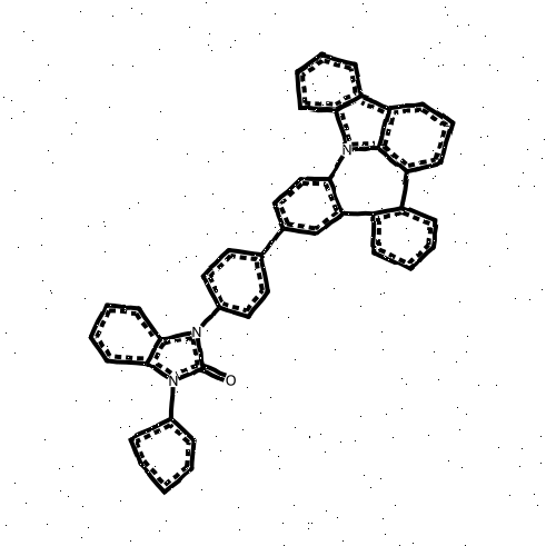 O=c1n(-c2ccccc2)c2ccccc2n1-c1ccc(-c2ccc3c(c2)-c2ccccc2-c2cccc4c5ccccc5n-3c24)cc1